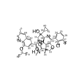 Cc1cnc2c(OC(F)F)cc(C(=O)NCC(O)(c3cc4c(c(-c5cccc(F)c5Cl)n3)OC[C@]4(C)C(N)=O)C3CC3)cc2c1